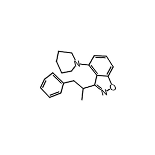 CC(Cc1ccccc1)c1noc2cccc(N3CCCCC3)c12